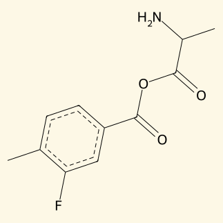 Cc1ccc(C(=O)OC(=O)C(C)N)cc1F